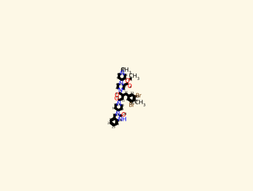 CCOC(=O)C1CN(C(=O)C(CC(=O)N2CCC(N3Cc4ccccc4NC3=O)CC2)Cc2cc(Br)c(C)c(Br)c2)CCN1C1CCN(C)CC1